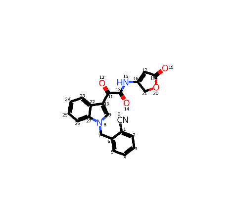 N#Cc1ccccc1Cn1cc(C(=O)C(=O)NC2=CC(=O)OC2)c2ccccc21